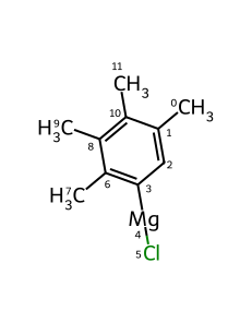 Cc1c[c]([Mg][Cl])c(C)c(C)c1C